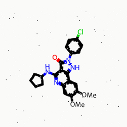 COc1cc2nc(NC3CCCC3)c3c(=O)n(-c4ccc(Cl)cc4)[nH]c3c2cc1OC